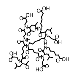 CC(=O)C(CC(C)C)N(CCC(=O)O)C(=O)CCCC(C(=O)NCCC(=O)N(CCC(=O)O)C(CC(C)C)C(C)=O)N(CCCCCC(=O)N(CCC(=O)O)C(CC(C)C)C(=O)NCCCCCC(=O)O)C(=O)CCCC(=O)N(CCC(=O)O)C(CC(C)C)C(=O)NCCCCCC(=O)O